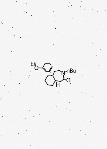 CCCCN1CC[C@]2(c3cccc(OCC)c3)CCCC[C@H]2CC1=O